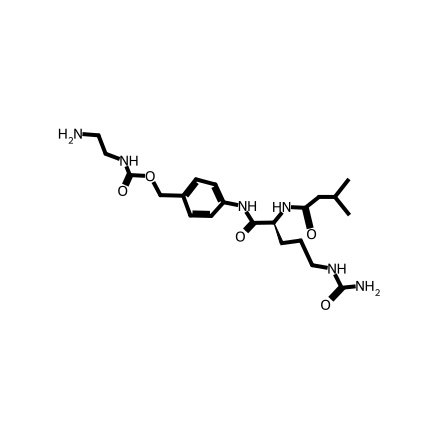 CC(C)CC(=O)N[C@@H](CCCNC(N)=O)C(=O)Nc1ccc(COC(=O)NCCN)cc1